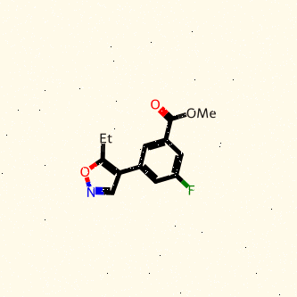 CCc1oncc1-c1cc(F)cc(C(=O)OC)c1